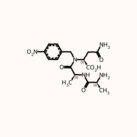 C[C@H](N)C(=O)N[C@@H](C)C(=O)N(Cc1ccc([N+](=O)[O-])cc1)[C@@H](CC(N)=O)C(=O)O